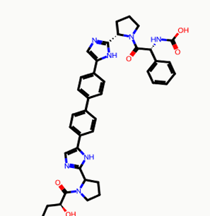 CC[C@H](O)C(=O)N1CCCC1c1ncc(-c2ccc(-c3ccc(-c4cnc([C@@H]5CCCN5C(=O)[C@H](NC(=O)O)c5ccccc5)[nH]4)cc3)cc2)[nH]1